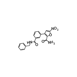 NC(=O)c1oc([N+](=O)[O-])cc1-c1cccc(C(=O)NCc2ccccc2)c1